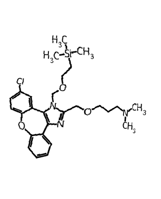 CN(C)CCCOCc1nc2c(n1COCC[Si](C)(C)C)-c1cc(Cl)ccc1Oc1ccccc1-2